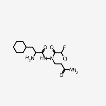 NC(=O)CCN(NC(=O)C(N)CC1CCCCC1)C(=O)C(F)Cl